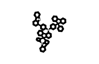 c1ccc(C2(c3ccc(N(c4ccc(-c5cccc6c5sc5ccccc56)cc4)c4cccc5c4-c4ccccc4C54c5ccccc5-n5c6ccccc6c6cccc4c65)cc3)c3ccccc3-c3ccccc32)cc1